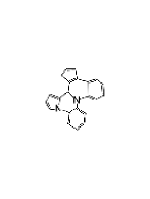 C1=CC2=C(C1)C1c3cccn3-c3ccccc3N1c1ccccc12